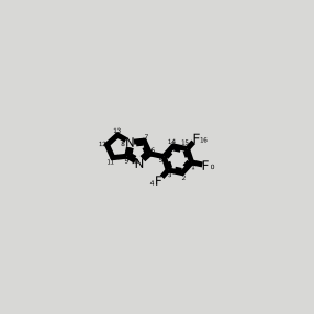 Fc1cc(F)c(-c2cn3c(n2)CCC3)cc1F